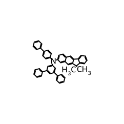 CC1(C)c2ccccc2-c2cc3ccc(N(c4ccc(-c5ccccc5)cc4)c4cc(-c5ccccc5)cc(-c5ccccc5)c4)cc3cc21